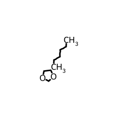 C1COCO1.CCCCCC